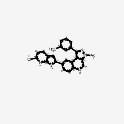 CC(=O)n1nc(-c2cccc(C)c2)c2c3cc(-c4cc5ccc(Cl)nc5s4)ccc3ncc21